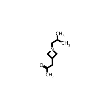 C[C](C)CN1CC(CC(C)=O)C1